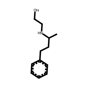 CC(CCc1ccccc1)NC[CH]O